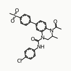 CC(=O)N1c2ccc(-c3ccc(S(C)(=O)=O)cc3)cc2N(C(=O)Nc2ccc(Cl)cc2)CC1C